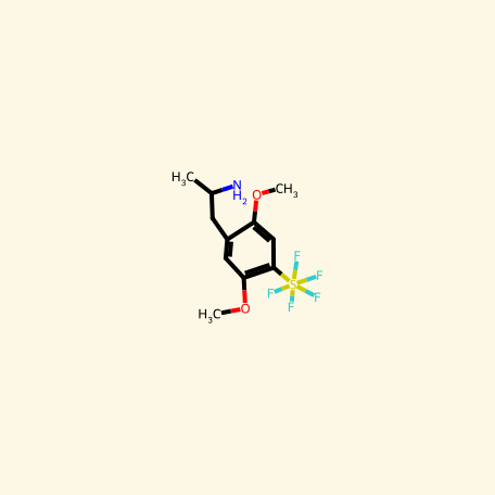 COc1cc(S(F)(F)(F)(F)F)c(OC)cc1CC(C)N